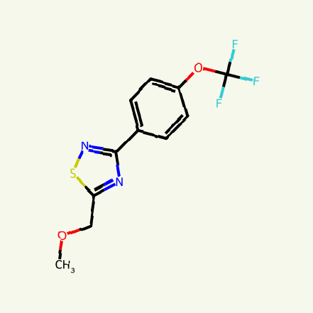 COCc1nc(-c2ccc(OC(F)(F)F)cc2)ns1